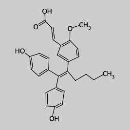 CCCCC(=C(c1ccc(O)cc1)c1ccc(O)cc1)c1ccc(OC)c(C=CC(=O)O)c1